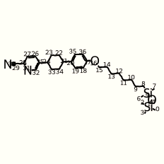 C[Si](C)(C)O[Si](C)(C)CCCCCCCCOc1ccc(C2CCC(c3ccc(C#N)nc3)CC2)cc1